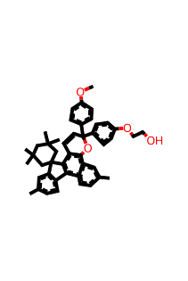 COc1ccc(C2(c3ccc(OCCO)cc3)C=Cc3c4c(c5ccc(C)cc5c3O2)-c2ccc(C)cc2C42CC(C)(C)CC(C)(C)C2)cc1